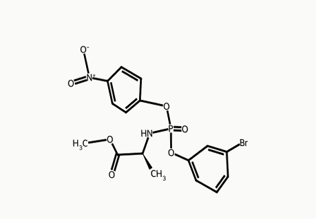 COC(=O)[C@H](C)NP(=O)(Oc1ccc([N+](=O)[O-])cc1)Oc1cccc(Br)c1